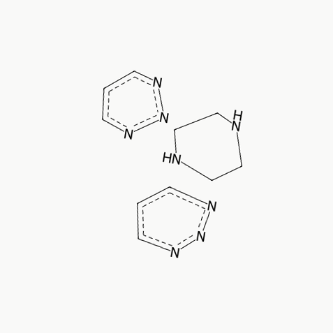 C1CNCCN1.c1cnnnc1.c1cnnnc1